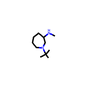 CNC1CCCCN(C(C)(C)C)C1